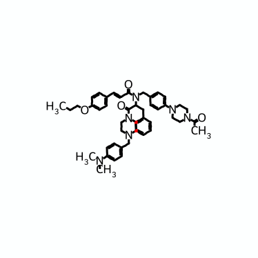 CCCOc1ccc(C=CC(=O)N(Cc2ccc(N3CCN(C(C)=O)CC3)cc2)C(Cc2ccccc2)C(=O)N2CCN(Cc3ccc(N(C)C)cc3)CC2)cc1